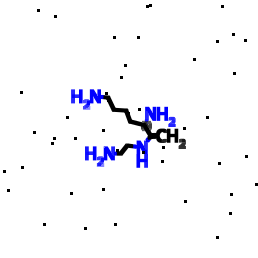 C=C(NCCN)[C@@H](N)CCCCN